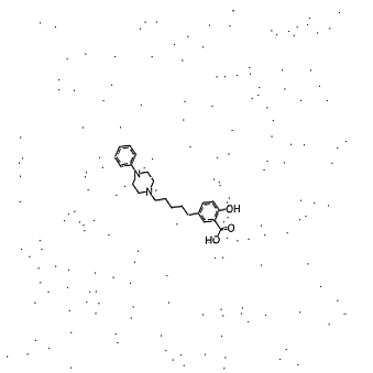 O=C(O)c1cc(CCCCCN2CCN(c3ccccc3)CC2)ccc1O